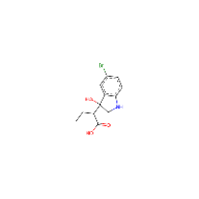 CCC(C(=O)O)C1(O)CNc2ccc(Br)cc21